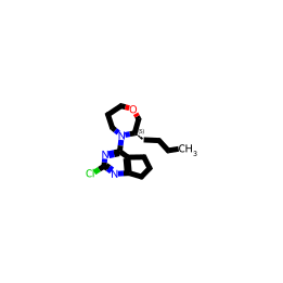 CCCC[C@H]1COCCCN1c1nc(Cl)nc2c1CCC2